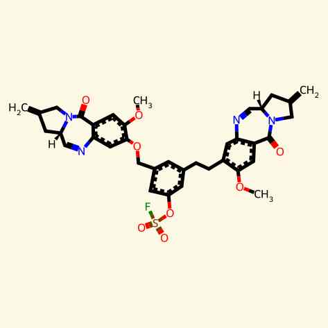 C=C1C[C@H]2C=Nc3cc(CCc4cc(COc5cc6c(cc5OC)C(=O)N5CC(=C)C[C@H]5C=N6)cc(OS(=O)(=O)F)c4)c(OC)cc3C(=O)N2C1